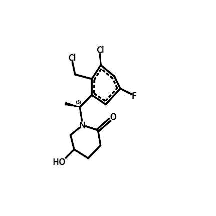 C[C@@H](c1cc(F)cc(Cl)c1CCl)N1CC(O)CCC1=O